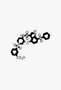 O=C(O)c1cccc(S(=O)(=O)N2CCC(NS(=O)(=O)c3c[nH]c4c(S(=O)(=O)c5ccccc5)ccc(C(F)(F)F)c34)CC2)c1